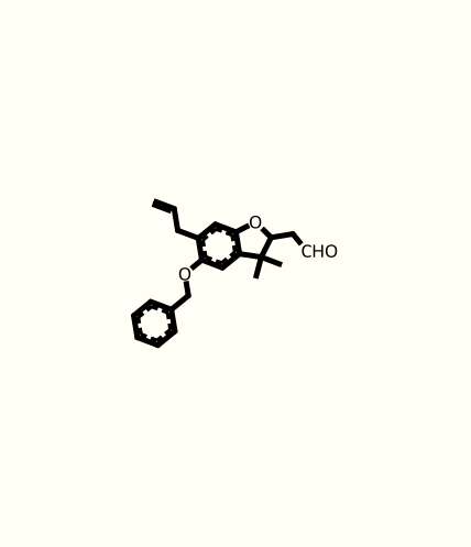 C=CCc1cc2c(cc1OCc1ccccc1)C(C)(C)C(CC=O)O2